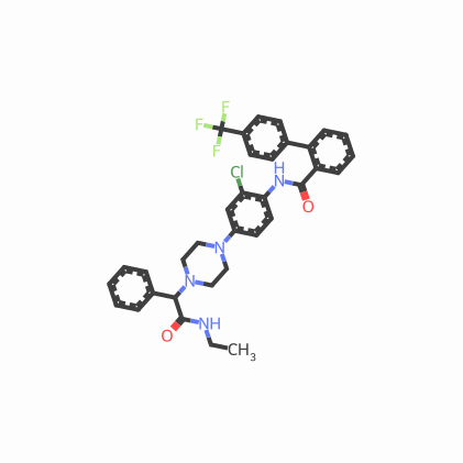 CCNC(=O)C(c1ccccc1)N1CCN(c2ccc(NC(=O)c3ccccc3-c3ccc(C(F)(F)F)cc3)c(Cl)c2)CC1